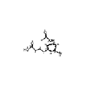 CC(=O)O.O=C(O)CCCc1cccc(Br)c1